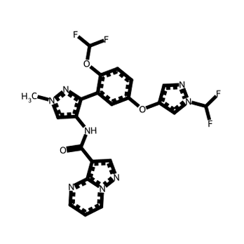 Cn1cc(NC(=O)c2cnn3cccnc23)c(-c2cc(Oc3cnn(C(F)F)c3)ccc2OC(F)F)n1